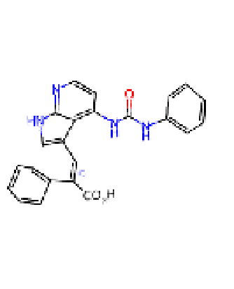 O=C(Nc1ccccc1)Nc1ccnc2[nH]cc(/C=C(/C(=O)O)c3ccccc3)c12